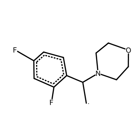 [CH2]C(c1ccc(F)cc1F)N1CCOCC1